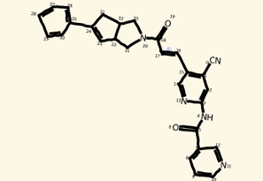 N#Cc1cc(NC(=O)c2cccnc2)ncc1/C=C/C(=O)N1CC2C=C(c3ccccc3)CC2C1